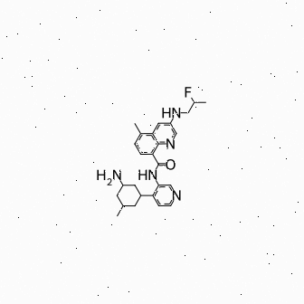 Cc1ccc(C(=O)Nc2cnccc2C2CC(C)CC(N)C2)c2ncc(NCC(C)F)cc12